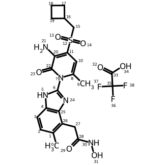 Cc1ccc2[nH]c(-n3c(C)cc(S(=O)(=O)CC4CCC4)c(N)c3=O)nc2c1CC(=O)NO.O=C(O)C(F)(F)F